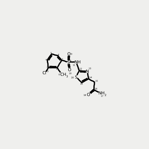 Cc1c(Cl)cccc1S(=O)(=O)Nc1nc(CC(N)=O)cs1